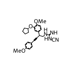 COc1ccc(C#CC(CNC(=N)NC#N)c2ccc(OC)c(OC3CCCC3)c2)cc1